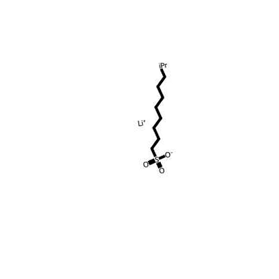 CC(C)CCCCCCCCS(=O)(=O)[O-].[Li+]